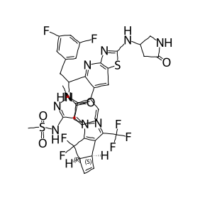 Cn1nc(NS(C)(=O)=O)c2cccc(-c3cc4sc(NC5CNC(=O)C5)nc4nc3C(Cc3cc(F)cc(F)c3)NC(=O)Cn3nc(C(F)(F)F)c4c3C(F)(F)[C@@H]3C=C[C@H]43)c21